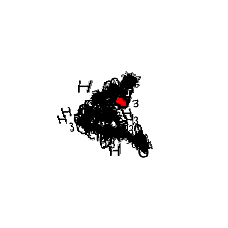 CC[C@H](C)[C@@H]([C@@H](CC(=O)N1CCC[C@H]1[C@H](OC)[C@@H](C)C(=O)N[C@@H](Cc1ccccc1)C(=O)N1OC2C=CC1CC2)OC)N(C)C(=O)[C@@H](NC(=O)[C@H](C(C)C)N(C)CCCC(=O)NNC(=O)CCCCCN1C(=O)C=CC1=O)C(C)C